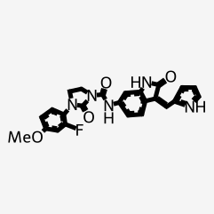 COc1ccc(N2CCN(C(=O)Nc3ccc4c(c3)NC(=O)/C4=C\c3ccc[nH]3)C2=O)c(F)c1